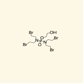 O=P(OCCO)(N(CCBr)CCBr)N(CCBr)CCBr